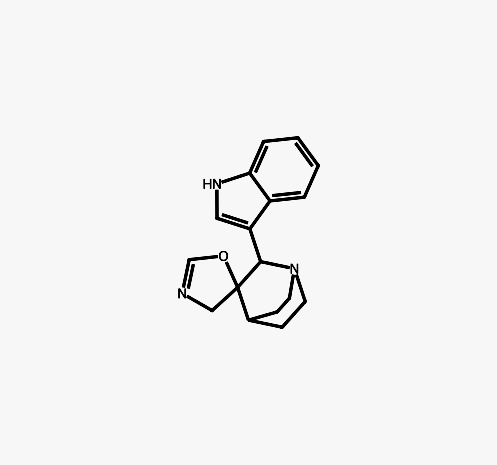 C1=NCC2(O1)C1CCN(CC1)C2c1c[nH]c2ccccc12